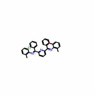 Cc1cccc(Cl)c1/N=C(\c1ccccc1)c1cccc(/C(=N/c2c(C)cccc2C(C)C)c2ccccc2)n1